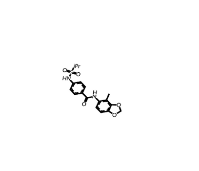 Cc1c(NC(=O)c2ccc(NS(=O)(=O)C(C)C)cc2)ccc2c1OCO2